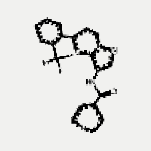 O=C(Nc1cnn2ccc(-c3ccccc3C(F)(F)F)nc12)c1ccncc1